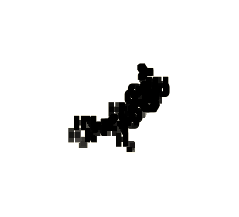 CC[C@H](C)C(NC(=O)[C@H](CC(C)C)NC(=O)O)C(=O)C(=O)N[C@@H](CCCNC(=N)N)C(N)=O